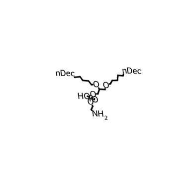 CCCCCCCCCCCCCCCOCC(COP(=O)(O)OCCN)OCCCCCCCCCCCCCCC